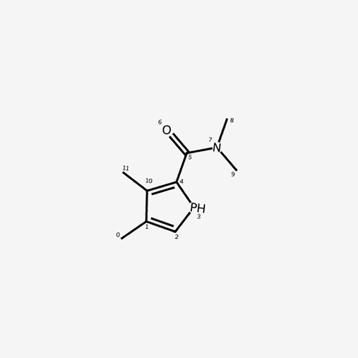 Cc1c[pH]c(C(=O)N(C)C)c1C